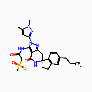 Cc1cc(-n2nc3c(c2NC(=O)CS(C)(=O)=O)C(=O)N[C@@]2(CCc4cc(CCC(F)(F)F)ccc42)C3)nn1C